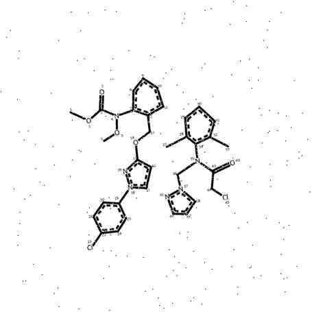 COC(=O)N(OC)c1ccccc1COc1ccn(-c2ccc(Cl)cc2)n1.Cc1cccc(C)c1N(Cn1cccn1)C(=O)CCl